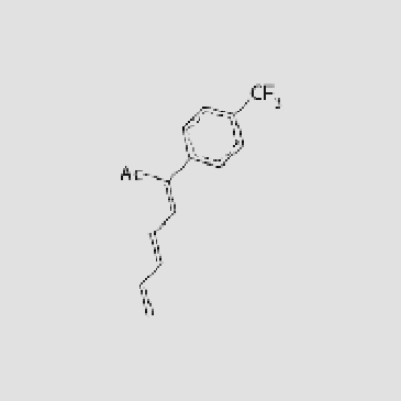 C=CC=CC=C(C(C)=O)c1ccc(C(F)(F)F)cc1